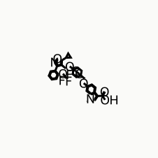 Cn1cc(C(=O)O)c2ccc(OCC34CCC(OCc5c(-c6ccccc6OC(F)(F)F)noc5C5CC5)(CC3)CC4)cc21